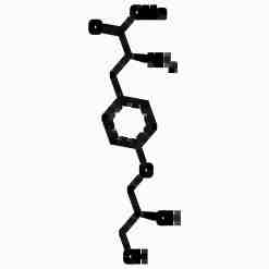 COC(=O)[C@@H](N)Cc1ccc(OC[C@@H](O)CO)cc1